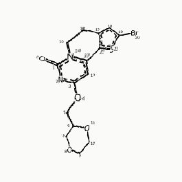 O=c1nc(OCC2COCCO2)cc2n1CCc1cc(Br)sc1-2